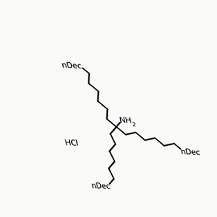 CCCCCCCCCCCCCCCCC(N)(CCCCCCCCCCCCCCCC)CCCCCCCCCCCCCCCC.Cl